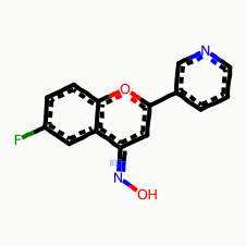 O/N=c1\cc(-c2cccnc2)oc2ccc(F)cc12